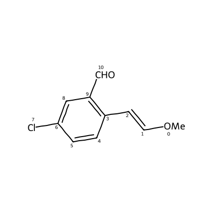 CO/C=C/c1ccc(Cl)cc1C=O